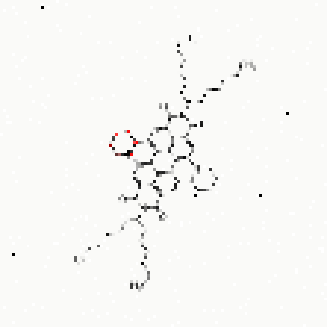 CCCCCCC(CCCCCC)N1C(=O)c2ccc3c4c(N5CCCCC5)cc5c6c(cc(N7CCCCC7)c(c7c(N8CCCCC8)cc(c2c37)C1=O)c64)C(=O)N(C(CCCCCC)CCCCCC)C5=O